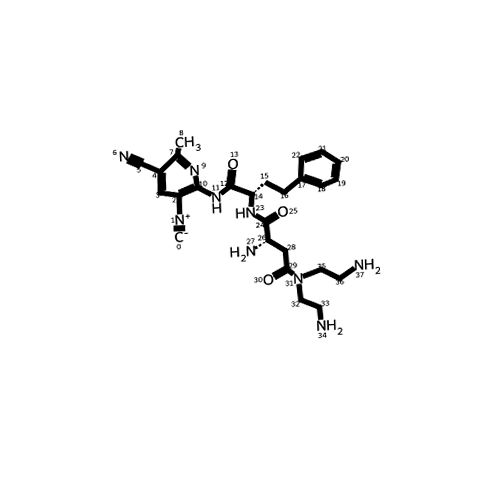 [C-]#[N+]c1cc(C#N)c(C)nc1NC(=O)[C@H](CCc1ccccc1)NC(=O)[C@@H](N)CC(=O)N(CCN)CCN